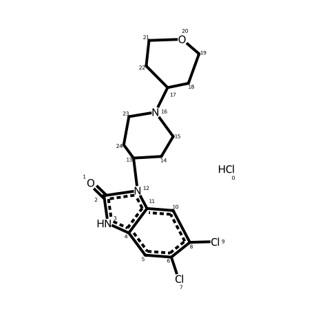 Cl.O=c1[nH]c2cc(Cl)c(Cl)cc2n1C1CCN(C2CCOCC2)CC1